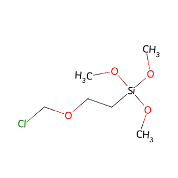 CO[Si](CCOCCl)(OC)OC